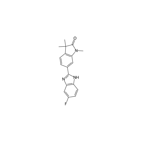 CN1C(=O)C(C)(C)c2ccc(-c3nc4cc(F)ccc4[nH]3)cc21